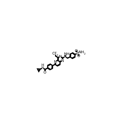 NN(Cc1ccc(S(N)(=O)=O)cc1)c1nc(CC(F)(F)F)c2nc(-c3ccc(C(=O)NC4CC4)cc3)ccc2n1